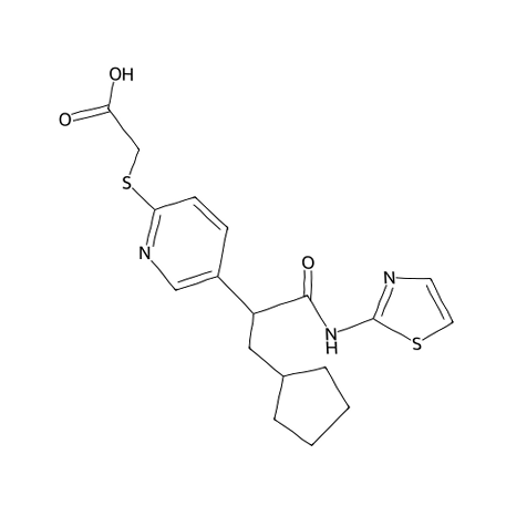 O=C(O)CSc1ccc(C(CC2CCCC2)C(=O)Nc2nccs2)cn1